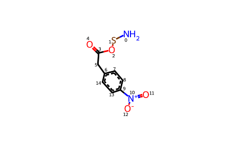 NSOC(=O)Cc1ccc([N+](=O)[O-])cc1